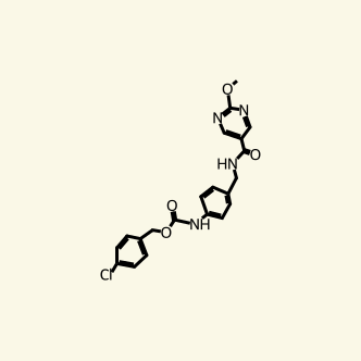 COc1ncc(C(=O)NCc2ccc(NC(=O)OCc3ccc(Cl)cc3)cc2)cn1